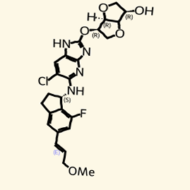 COC/C=C/c1cc(F)c2c(c1)CC[C@@H]2Nc1nc2nc(O[C@@H]3COC4[C@H](O)CO[C@@H]43)[nH]c2cc1Cl